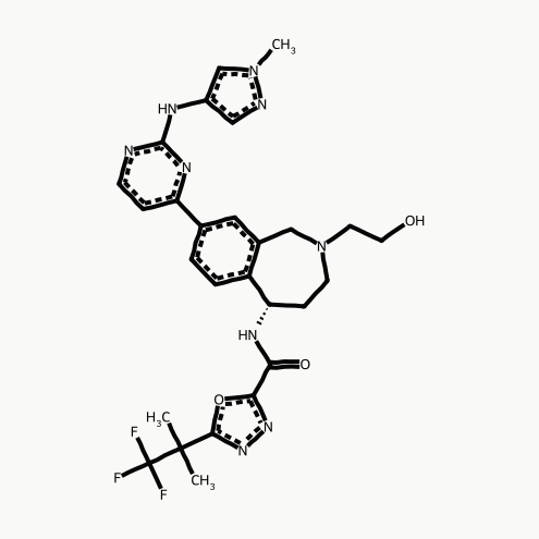 Cn1cc(Nc2nccc(-c3ccc4c(c3)CN(CCO)CC[C@@H]4NC(=O)c3nnc(C(C)(C)C(F)(F)F)o3)n2)cn1